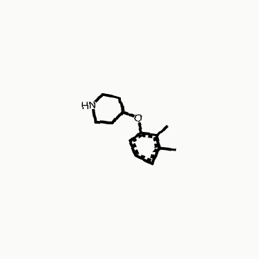 Cc1cccc(OC2CCNCC2)c1C